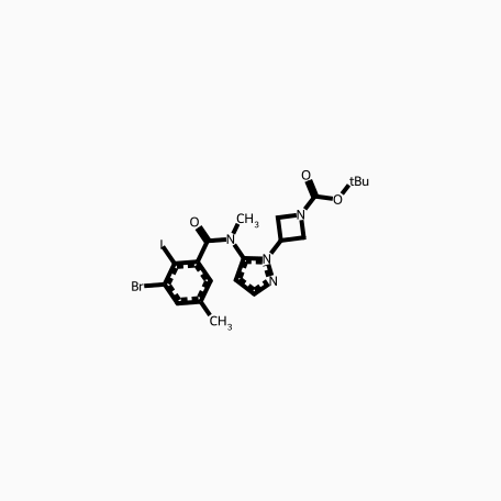 Cc1cc(Br)c(I)c(C(=O)N(C)c2ccnn2C2CN(C(=O)OC(C)(C)C)C2)c1